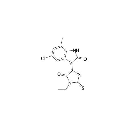 CCN1C(=O)/C(=C2/C(=O)Nc3c(C)cc(Cl)cc32)SC1=S